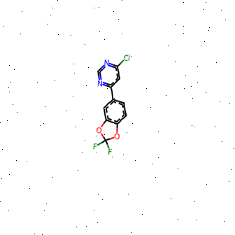 FC1(F)Oc2ccc(-c3cc(Cl)ncn3)cc2O1